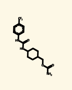 NC(=O)OCC1CCC(NC(=O)Nc2ccc(C(F)(F)F)cc2)CC1